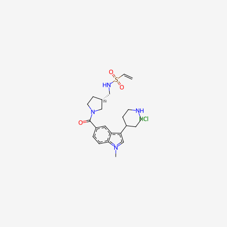 C=CS(=O)(=O)NC[C@H]1CCN(C(=O)c2ccc3c(c2)c(C2CCNCC2)cn3C)C1.Cl